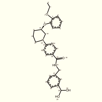 CCOc1ccccc1O[C@@H]1CCCN(c2ncc(C(=O)NCc3cccc(C(O)O)c3)cn2)C1